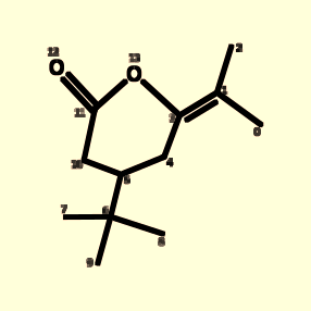 CC(C)=C1CC(C(C)(C)C)CC(=O)O1